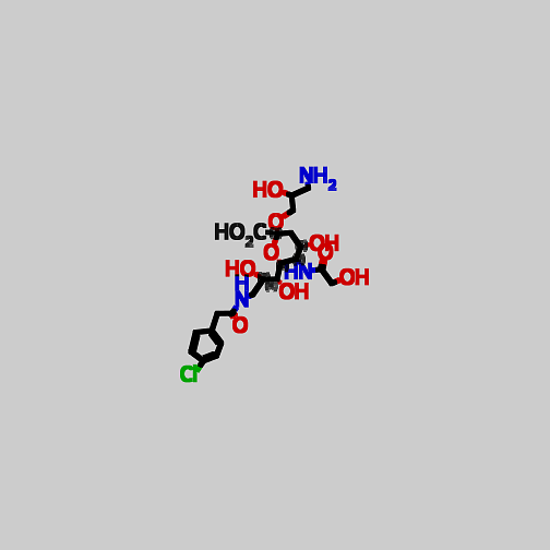 NCC(O)CO[C@]1(C(=O)O)C[C@H](O)[C@@H](NC(=O)CO)[C@H]([C@H](O)[C@H](O)CNC(=O)Cc2ccc(Cl)cc2)O1